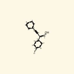 ON=C(C#Cc1ccccc1)c1ccc(F)cc1